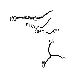 CCCCCC.CCOC(C)=O.CO.ClC(Cl)Cl.O=CO